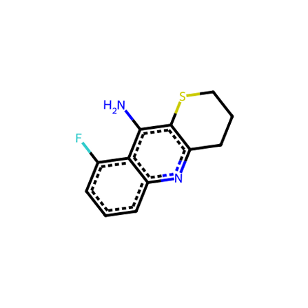 Nc1c2c(nc3cccc(F)c13)CCCS2